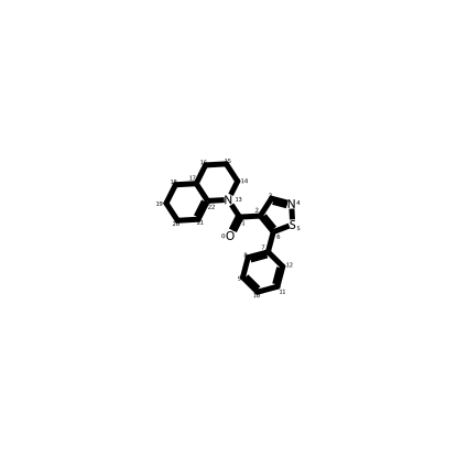 O=C(c1cnsc1-c1ccccc1)N1CCCC2CCCC=C21